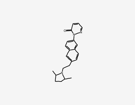 CC1CCC(C)N1CCc1ccc2cc(-n3ncccc3=O)ccc2c1